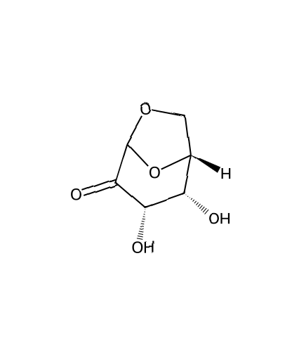 O=C1C2OC[C@@H](O2)[C@H](O)[C@@H]1O